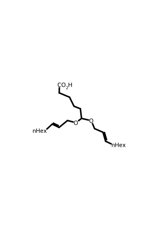 CCCCCC/C=C/COC(CCCCC(=O)O)OC/C=C/CCCCCC